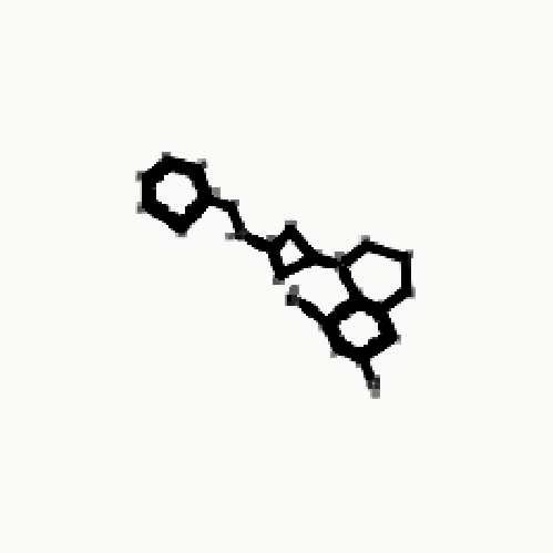 Clc1cc(Br)c2c(c1)CCCN2C1CC(OCc2ccccc2)C1